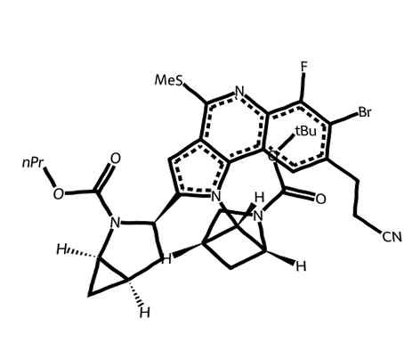 CCCOC(=O)N1[C@@H](c2cc3c(SC)nc4c(F)c(Br)c(CCC#N)cc4c3n2[C@H]2[C@@H]3C[C@H]2N(C(=O)OC(C)(C)C)C3)C[C@H]2C[C@H]21